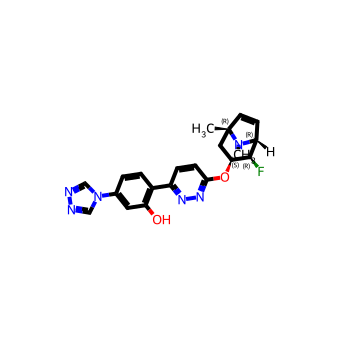 CN1[C@@H]2C=C[C@@]1(C)C[C@H](Oc1ccc(-c3ccc(-n4cnnc4)cc3O)nn1)[C@@H]2F